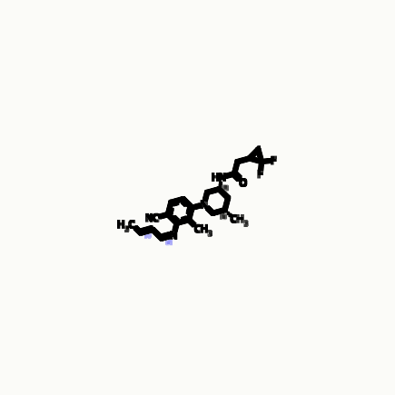 C/C=C/C=N\c1c(C#N)ccc(N2C[C@@H](C)C[C@@H](NC(=O)CC3CC3(F)F)C2)c1C